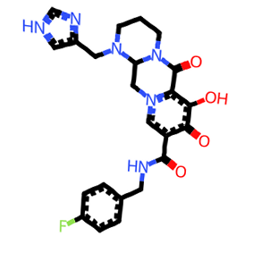 O=C(NCc1ccc(F)cc1)c1cn2c(c(O)c1=O)C(=O)N1CCCN(Cc3c[nH]cn3)C1C2